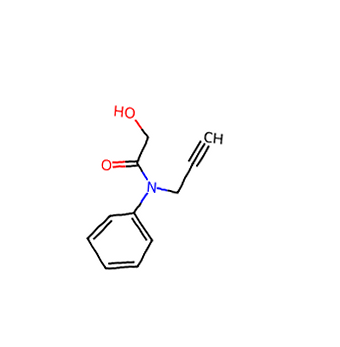 C#CCN(C(=O)CO)c1ccccc1